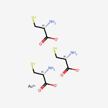 N[C@@H](CS)C(=O)[O-].N[C@@H](CS)C(=O)[O-].N[C@@H](CS)C(=O)[O-].[Au+3]